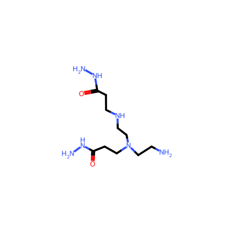 NCCN(CCNCCC(=O)NN)CCC(=O)NN